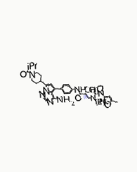 Cc1cc(N(C)C(=O)N(/C=C(\C=O)C(=O)Nc2ccc(-c3cc(C4CCN(C(=O)C(C)C)CC4)n4ncnc(N)c34)cc2)C(C)C)no1